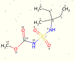 CCC(C)(CC)NS(=O)(=O)NC(=O)OC